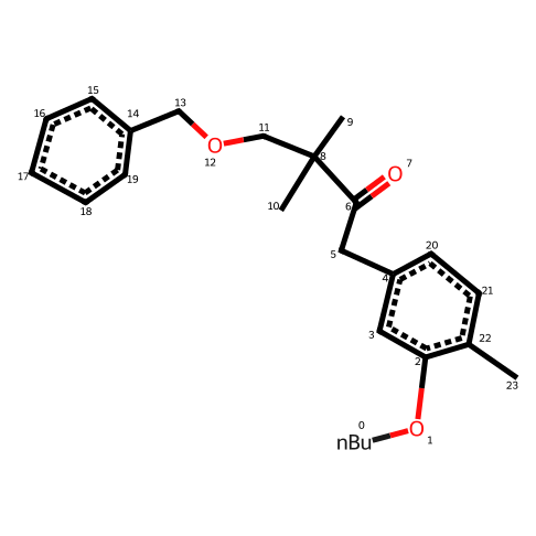 CCCCOc1cc(CC(=O)C(C)(C)COCc2ccccc2)ccc1C